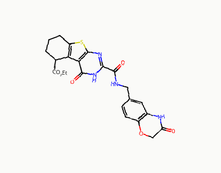 CCOC(=O)C1CCCc2sc3nc(C(=O)NCc4ccc5c(c4)NC(=O)CO5)[nH]c(=O)c3c21